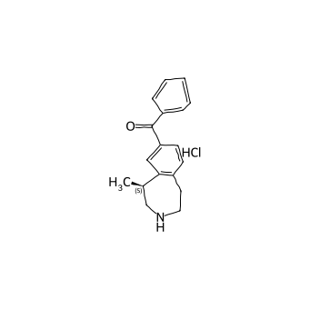 C[C@@H]1CNCCc2ccc(C(=O)c3ccccc3)cc21.Cl